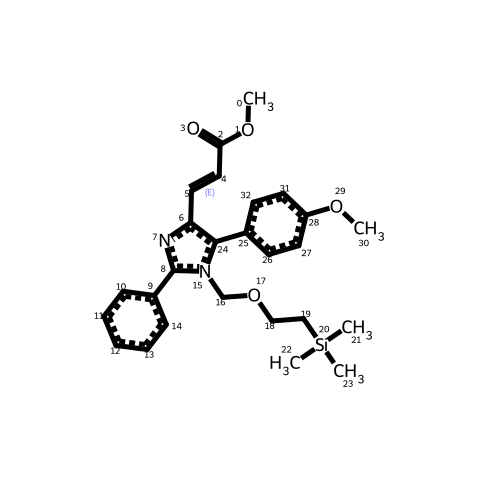 COC(=O)/C=C/c1nc(-c2ccccc2)n(COCC[Si](C)(C)C)c1-c1ccc(OC)cc1